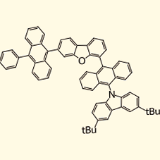 CC(C)(C)c1ccc2c(c1)c1cc(C(C)(C)C)ccc1n2-c1c2ccccc2c(-c2cccc3c2oc2cc(-c4c5ccccc5c(-c5ccccc5)c5ccccc45)ccc23)c2ccccc12